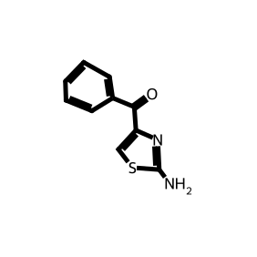 Nc1nc(C(=O)c2ccccc2)cs1